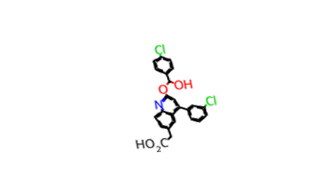 O=C(O)Cc1ccc2nc(OC(O)c3ccc(Cl)cc3)cc(-c3cccc(Cl)c3)c2c1